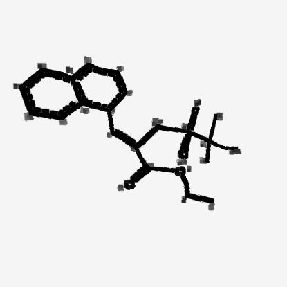 CCOC(=O)C(=Cc1cccc2ccccc12)CS(=O)(=O)C(C)(C)C